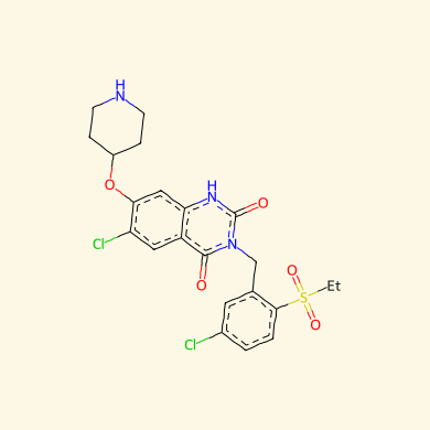 CCS(=O)(=O)c1ccc(Cl)cc1Cn1c(=O)[nH]c2cc(OC3CCNCC3)c(Cl)cc2c1=O